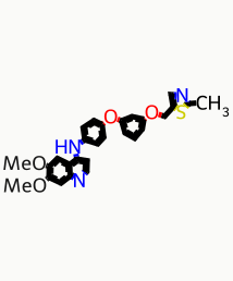 COc1cc2nccc(Nc3ccc(Oc4cccc(OCc5cnc(C)s5)c4)cc3)c2cc1OC